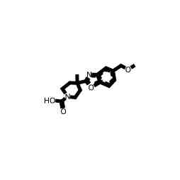 COCc1ccc2oc(C3(C)CCN(C(=O)O)CC3)nc2c1